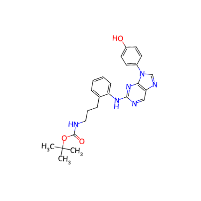 CC(C)(C)OC(=O)NCCCc1ccccc1Nc1ncc2ncn(-c3ccc(O)cc3)c2n1